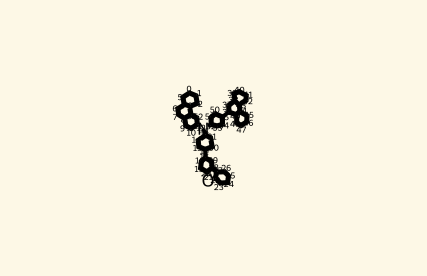 c1ccc2c(c1)ccc1ccc(N(c3ccc(-c4ccc5oc6ccccc6c5c4)cc3)c3ccc(-c4cc5ccccc5c5ccccc45)cc3)cc12